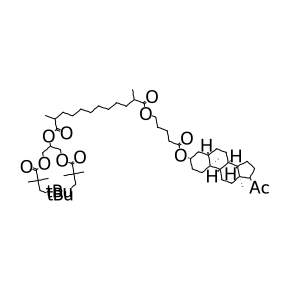 CC(=O)C1CC[C@H]2[C@@H]3CC[C@H]4C[C@@H](OC(=O)CCCCOC(=O)C(C)CCCCCCCCC(C)C(=O)OC(COC(=O)C(C)(C)CC(C)(C)C)COC(=O)C(C)(C)CC(C)(C)C)CC[C@]4(C)[C@H]3CC[C@]12C